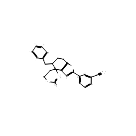 N#Cc1cccc(-c2cc3c(s2)CCC(Cc2ccccc2)C32CCSC(N)=N2)c1